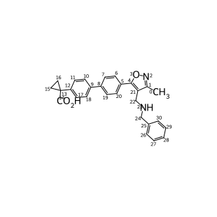 Cc1noc(-c2ccc(-c3ccc(C4(C(=O)O)CC4)cc3)cc2)c1CNCc1ccccc1